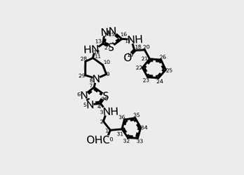 O=CC(CNc1nnc(N2CCC(Nc3nnc(NC(=O)Cc4ccccc4)s3)CC2)s1)c1ccccc1